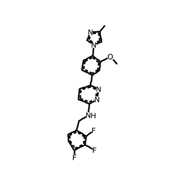 COc1cc(-c2ccc(NCc3ccc(F)c(F)c3F)nn2)ccc1-n1cnc(C)c1